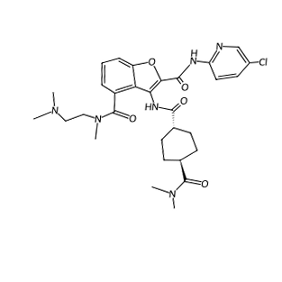 CN(C)CCN(C)C(=O)c1cccc2oc(C(=O)Nc3ccc(Cl)cn3)c(NC(=O)[C@H]3CC[C@H](C(=O)N(C)C)CC3)c12